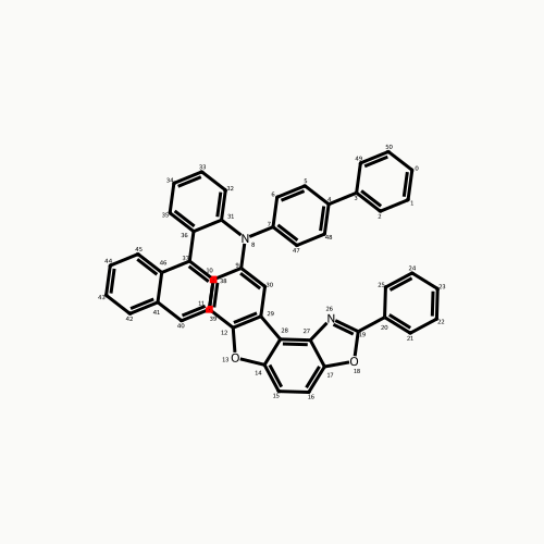 c1ccc(-c2ccc(N(c3ccc4oc5ccc6oc(-c7ccccc7)nc6c5c4c3)c3ccccc3-c3cccc4ccccc34)cc2)cc1